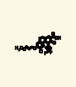 COCCCOc1cc2c(cc1Cl)-c1c(cc(C(=O)O)c(=O)n1C1CC(F)(F)C1)CS2